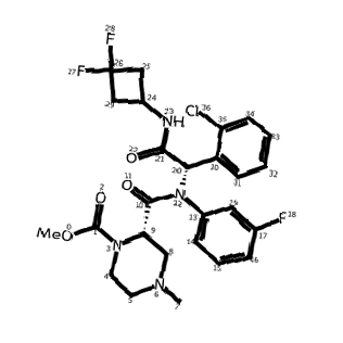 COC(=O)N1CCN(C)C[C@H]1C(=O)N(c1cccc(F)c1)[C@H](C(=O)NC1CC(F)(F)C1)c1ccccc1Cl